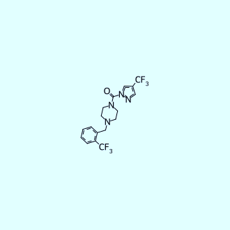 O=C(N1CCN(Cc2ccccc2C(F)(F)F)CC1)n1cc(C(F)(F)F)cn1